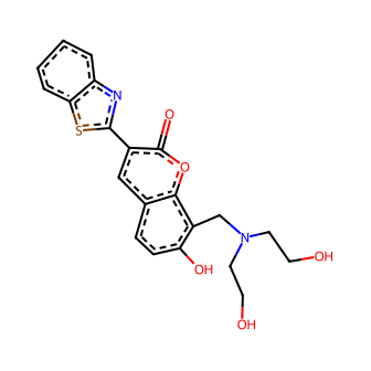 O=c1oc2c(CN(CCO)CCO)c(O)ccc2cc1-c1nc2ccccc2s1